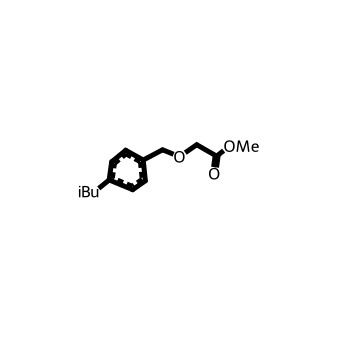 CCC(C)c1ccc(COCC(=O)OC)cc1